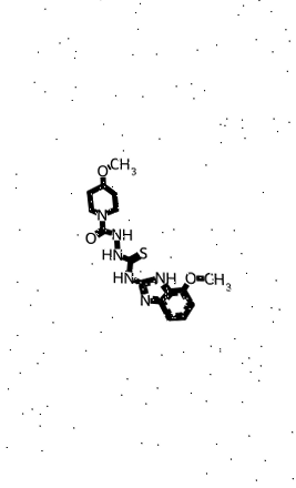 COc1cccc2nc(NC(=S)NNC(=O)N3CCC(OC)CC3)[nH]c12